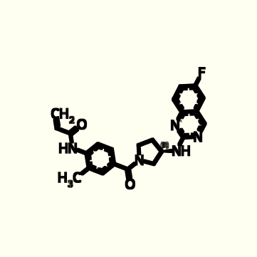 C=CC(=O)Nc1ccc(C(=O)N2CC[C@@H](Nc3ncc4cc(F)ccc4n3)C2)cc1C